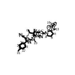 CCc1nc2sc(N3CCCC(N(C)S(C)(=O)=O)C3)nn2c1N(C)c1nc(-c2ccc(C)cc2)c(C#N)s1